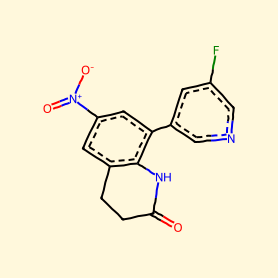 O=C1CCc2cc([N+](=O)[O-])cc(-c3cncc(F)c3)c2N1